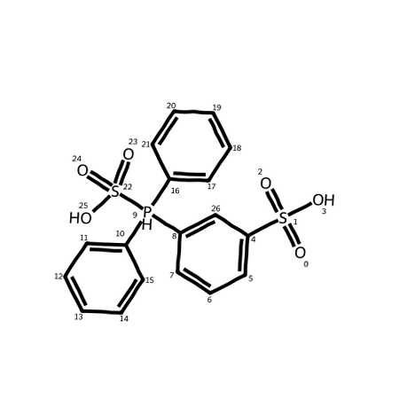 O=S(=O)(O)c1cccc([PH](c2ccccc2)(c2ccccc2)S(=O)(=O)O)c1